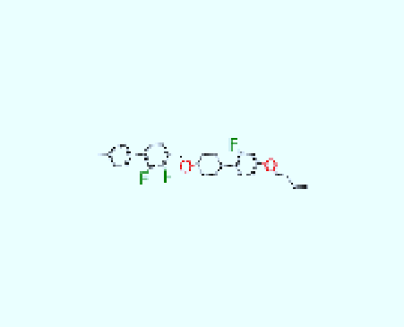 C=CCCOc1ccc(C2CCC(OCc3ccc(-c4ccc(C)cc4)c(F)c3F)CC2)c(F)c1